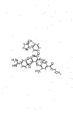 CCOC(=O)c1cc(C)c(Oc2c(F)c(Oc3cccc(C4=NCCN4C)c3)nc(Oc3cc(C(=N)N)ccc3O)c2F)c(C)c1